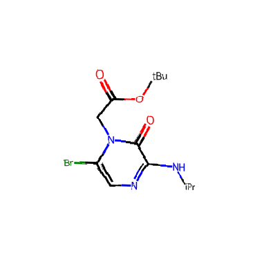 CC(C)Nc1ncc(Br)n(CC(=O)OC(C)(C)C)c1=O